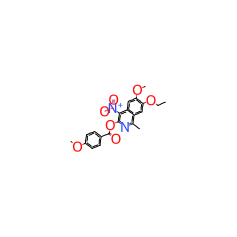 CCOc1cc2c(C)nc(OC(=O)c3ccc(OC)cc3)c([N+](=O)[O-])c2cc1OC